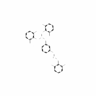 Cc1cccc(C)c1OPOc1cccc(OP(Oc2c(C)cccc2C)Oc2c(C)cccc2C)c1